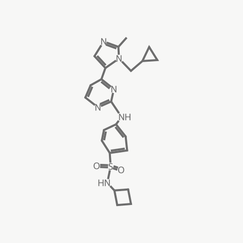 Cc1ncc(-c2ccnc(Nc3ccc(S(=O)(=O)NC4CCC4)cc3)n2)n1CC1CC1